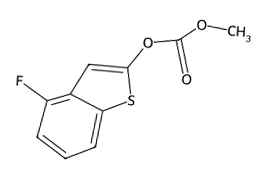 COC(=O)Oc1cc2c(F)cccc2s1